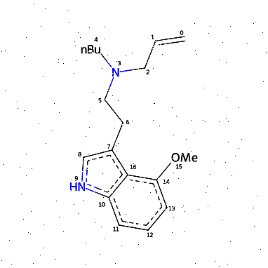 C=CCN(CCCC)CCc1c[nH]c2cccc(OC)c12